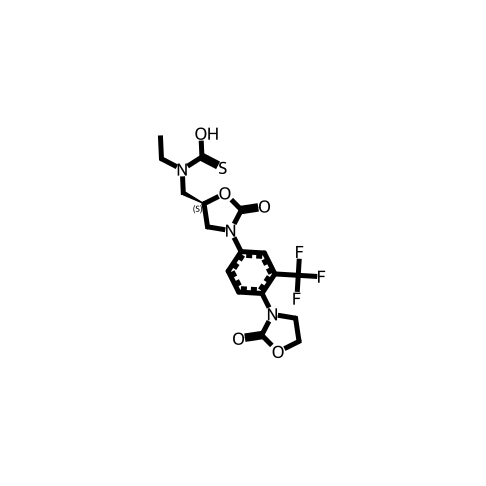 CCN(C[C@@H]1CN(c2ccc(N3CCOC3=O)c(C(F)(F)F)c2)C(=O)O1)C(O)=S